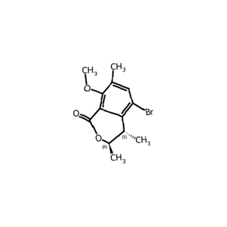 COc1c(C)cc(Br)c2c1C(=O)O[C@H](C)[C@H]2C